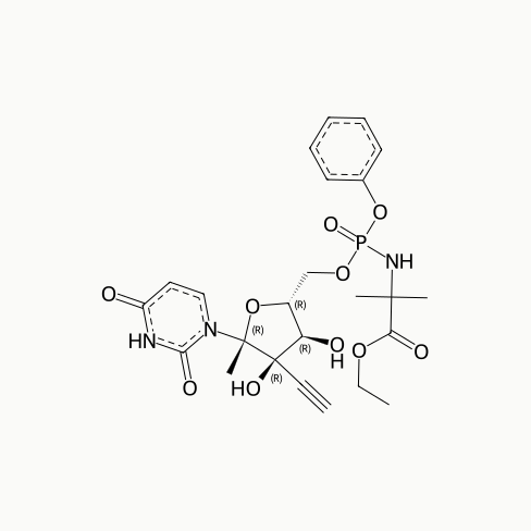 C#C[C@@]1(O)[C@H](O)[C@@H](COP(=O)(NC(C)(C)C(=O)OCC)Oc2ccccc2)O[C@@]1(C)n1ccc(=O)[nH]c1=O